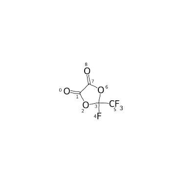 O=C1OC(F)(C(F)(F)F)OC1=O